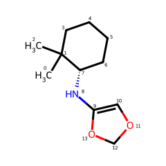 CC1(C)CCCC[C@@H]1NC1=COCO1